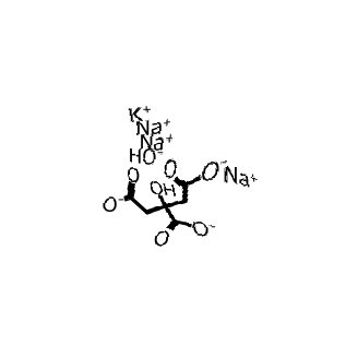 O=C([O-])CC(O)(CC(=O)[O-])C(=O)[O-].[K+].[Na+].[Na+].[Na+].[OH-]